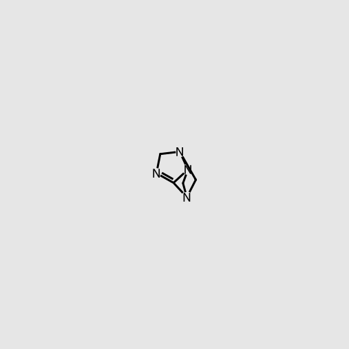 C1N=C2N3CN1N2C3